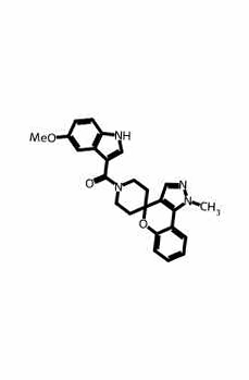 COc1ccc2[nH]cc(C(=O)N3CCC4(CC3)Oc3ccccc3-c3c4cnn3C)c2c1